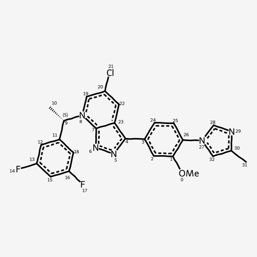 COc1cc(-c2nnc3n([C@@H](C)c4cc(F)cc(F)c4)cc(Cl)cc2-3)ccc1-n1cnc(C)c1